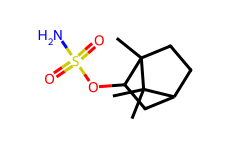 CC1(C)C2CCC1(C)C(OS(N)(=O)=O)C2